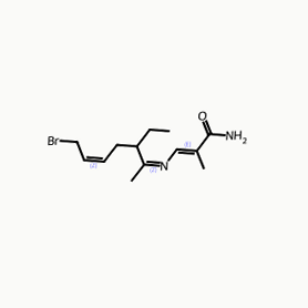 CCC(C/C=C\CBr)/C(C)=N\C=C(/C)C(N)=O